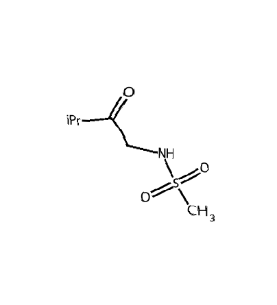 CC(C)C(=O)CNS(C)(=O)=O